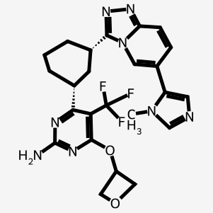 Cn1cncc1-c1ccc2nnc([C@H]3CCC[C@@H](c4nc(N)nc(OC5COC5)c4C(F)(F)F)C3)n2c1